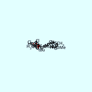 CCOc1cc(C(C)(C)C)ccc1C1=N[C@@](C)(c2ccc(Cl)cc2)[C@@](C)(c2ccc(Cl)cc2)N1C(=O)N1CCN(C2CCCC(N3CCN(c4ccc(C(=O)Nc5ncc(Sc6cc(C(=O)N7CCN(C(C)=O)CC7)c(OC)cc6C)s5)cc4)CC3)C2)CC1